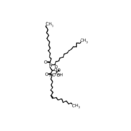 CCCCCCCC/C=C\CCCCCCCC(=O)C(CN(C(=O)CCCCCCCCCCCCC)C(=O)CCCCCCCCCCCCC)OP(=O)(O)O